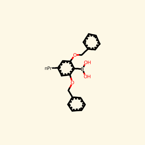 CCCc1cc(OCc2ccccc2)c(B(O)O)c(OCc2ccccc2)c1